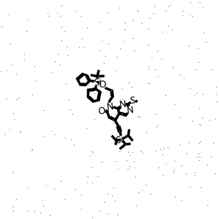 CSc1ncc2c(C#C[Si](C(C)C)(C(C)C)C(C)C)cc(=O)n(C/C=C\CO[Si](c3ccccc3)(c3ccccc3)C(C)(C)C)c2n1